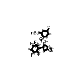 [3H]C1(F)C(C2=[C]([Ti+2][O]c3ccc(C)cc3CCCC)CC=C2)=C(F)C(F)=C(F)C1F.[Cl-].[Cl-]